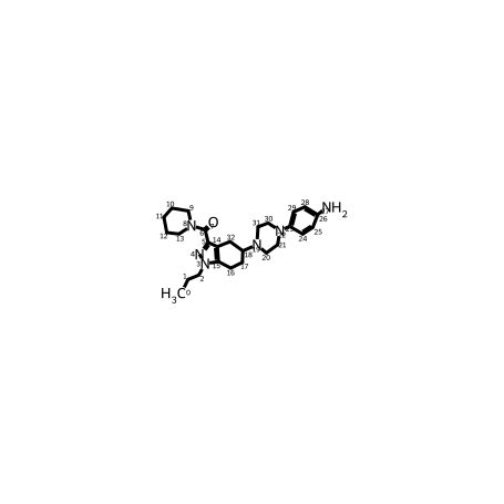 CCCn1nc(C(=O)N2CCCCC2)c2c1CCC(N1CCN(c3ccc(N)cc3)CC1)C2